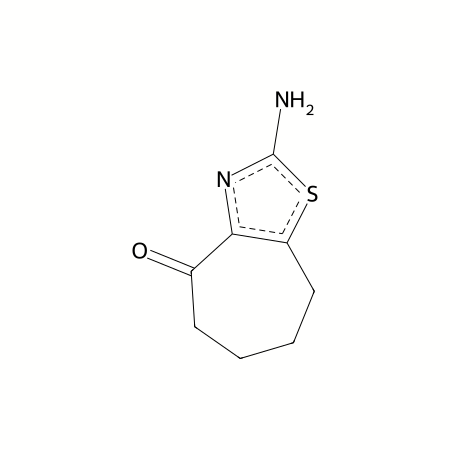 Nc1nc2c(s1)CCCCC2=O